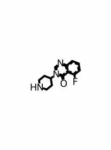 O=c1c2c(F)cccc2ncn1C1CCNCC1